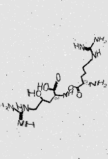 N=C(N)NCCC[C@H](N)C(=O)ON[C@@H](CC(O)CNC(=N)N)C(=O)O